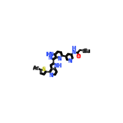 CC(=O)c1ccc(-c2nccc3[nH]c(-c4n[nH]c5ccc(-c6cncc(NC(=O)CC(C)(C)C)c6)nc45)cc23)s1